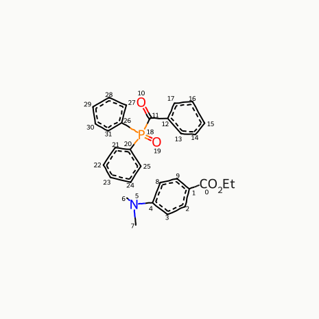 CCOC(=O)c1ccc(N(C)C)cc1.O=C(c1ccccc1)P(=O)(c1ccccc1)c1ccccc1